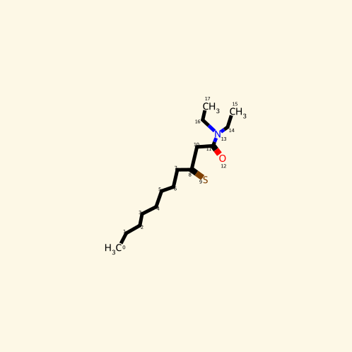 CCCCCCCCC(=S)CC(=O)N(CC)CC